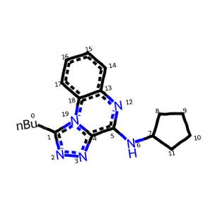 CCCCc1nnc2c(NC3CCCC3)nc3ccccc3n12